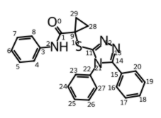 O=C(Nc1ccccc1)C1(Sc2nnc(-c3ccccc3)n2-c2ccccc2)CC1